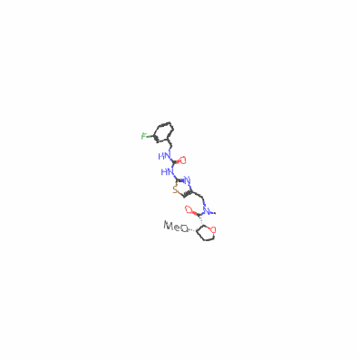 CO[C@H]1CCO[C@H]1C(=O)N(C)Cc1csc(NC(=O)NCc2cccc(F)c2)n1